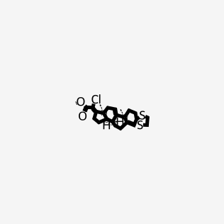 COC(=O)C(Cl)=C1CC[C@H]2[C@@H]3CCC4=CC5(CC[C@]4(C)C3=CC[C@]12C)SCCS5